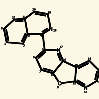 c1ccc2c(-c3ccc4oc5ncccc5c4n3)nccc2c1